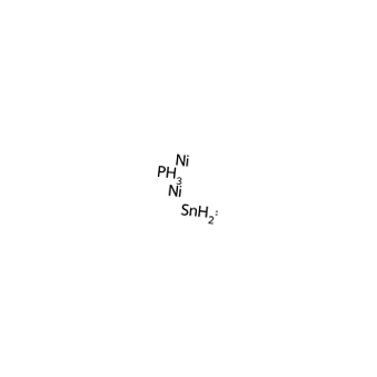 P.[Ni].[Ni].[SnH2]